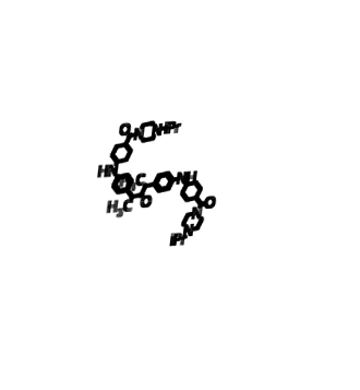 CC(C(=O)C(C)c1ccc(NC2CCC(C(=O)N3CCN(C(C)C)CC3)CC2)cc1)c1ccc(NC2CCC(C(=O)N3CCN(C(C)C)CC3)CC2)cc1